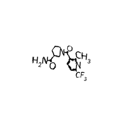 Cc1nc(C(F)(F)F)ccc1C(=O)N1CCCC(C(N)=O)C1